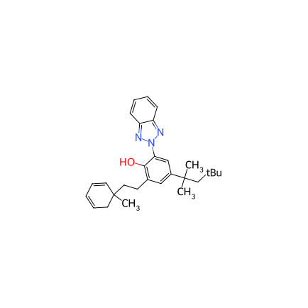 CC(C)(C)CC(C)(C)c1cc(CCC2(C)C=CC=CC2)c(O)c(-n2nc3ccccc3n2)c1